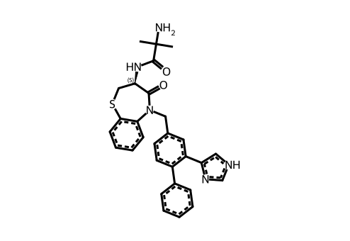 CC(C)(N)C(=O)N[C@@H]1CSc2ccccc2N(Cc2ccc(-c3ccccc3)c(-c3c[nH]cn3)c2)C1=O